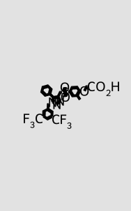 Cc1cc(S(=O)(=O)Cc2nnn(Cc3cc(C(F)(F)F)cc(C(F)(F)F)c3)c2-c2ccccc2)ccc1OCC(=O)O